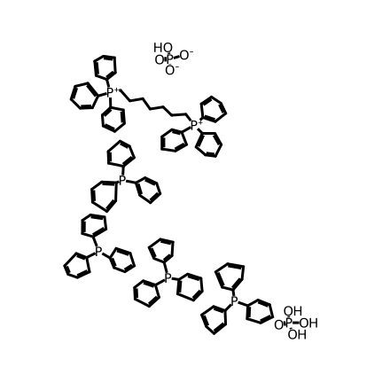 O=P(O)(O)O.O=P([O-])([O-])O.c1ccc(P(c2ccccc2)c2ccccc2)cc1.c1ccc(P(c2ccccc2)c2ccccc2)cc1.c1ccc(P(c2ccccc2)c2ccccc2)cc1.c1ccc(P(c2ccccc2)c2ccccc2)cc1.c1ccc([P+](CCCCCCC[P+](c2ccccc2)(c2ccccc2)c2ccccc2)(c2ccccc2)c2ccccc2)cc1